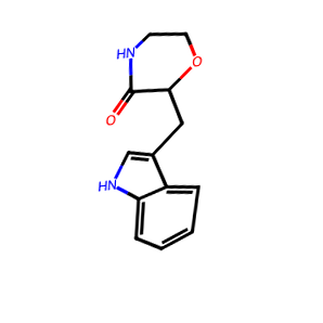 O=C1NCCOC1Cc1c[nH]c2ccccc12